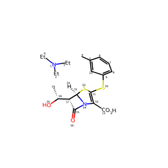 CCN(CC)CC.Cc1cccc(SC2=C(C(=O)O)N3C(=O)[C@H]([C@@H](C)O)[C@H]3S2)c1